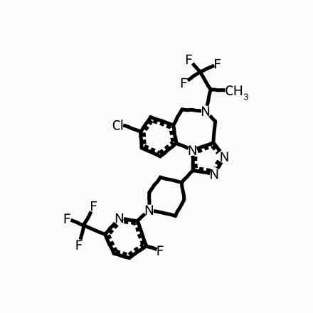 CC(N1Cc2cc(Cl)ccc2-n2c(nnc2C2CCN(c3nc(C(F)(F)F)ccc3F)CC2)C1)C(F)(F)F